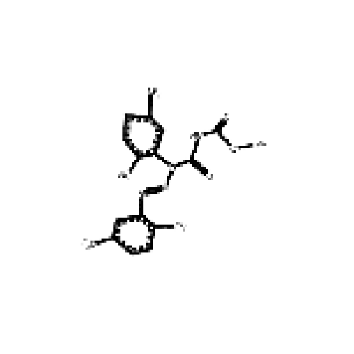 CCCOC(=O)NC(=O)N(N=Nc1cc(C(F)(F)F)ccc1C#N)c1cc(C(F)(F)F)ccc1C#N